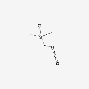 C[Si](C)(Cl)CN=C=O